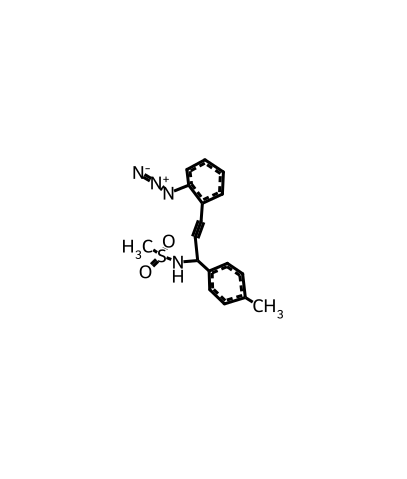 Cc1ccc(C(C#Cc2ccccc2N=[N+]=[N-])NS(C)(=O)=O)cc1